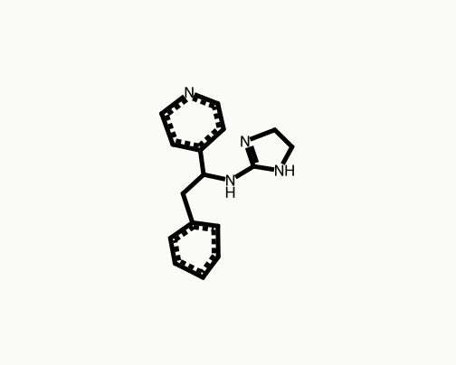 c1ccc(CC(NC2=NCCN2)c2ccncc2)cc1